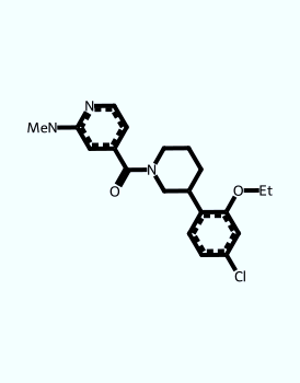 CCOc1cc(Cl)ccc1C1CCCN(C(=O)c2ccnc(NC)c2)C1